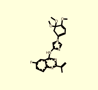 C=C(C)c1nc(Nc2cn(C3=CC=C(OC)C(OC)(OC)C3)cn2)c2cc(F)ccc2n1